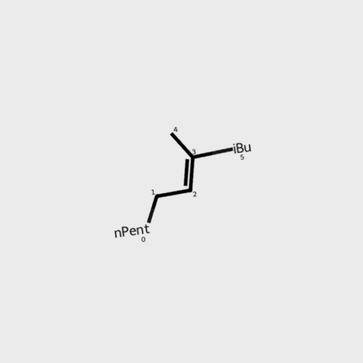 CCCCCCC=C(C)C(C)CC